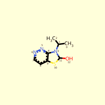 CC(C)N1c2nnccc2SC1O